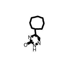 O=c1nc(C2CCCCCCC2)cn[nH]1